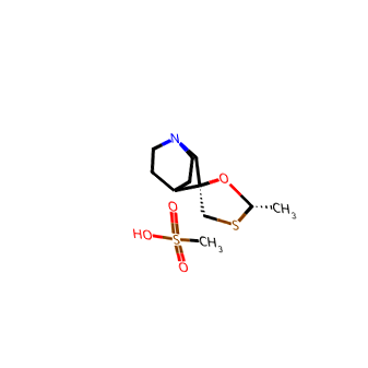 CS(=O)(=O)O.C[C@H]1O[C@]2(CS1)CN1CCC2CC1